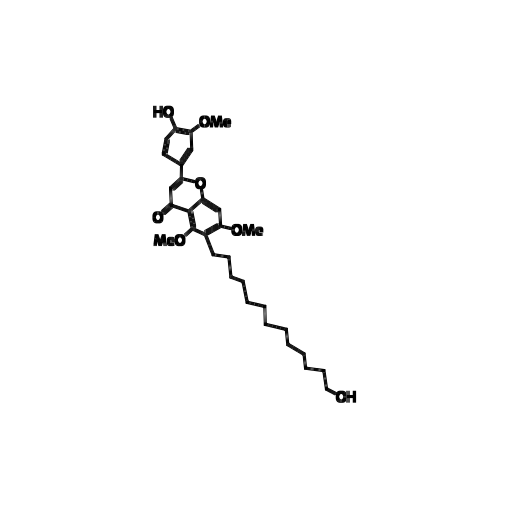 COc1cc(-c2cc(=O)c3c(OC)c(CCCCCCCCCCCCCO)c(OC)cc3o2)ccc1O